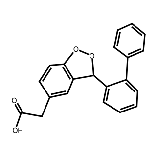 O=C(O)Cc1ccc2c(c1)C(c1ccccc1-c1ccccc1)OO2